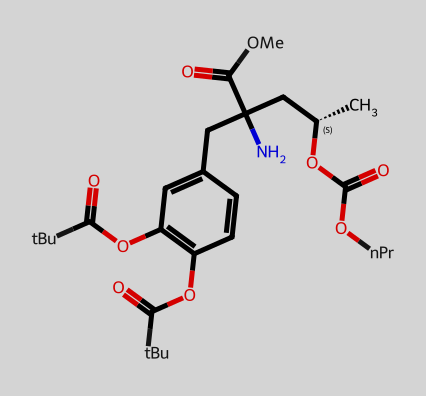 CCCOC(=O)O[C@@H](C)CC(N)(Cc1ccc(OC(=O)C(C)(C)C)c(OC(=O)C(C)(C)C)c1)C(=O)OC